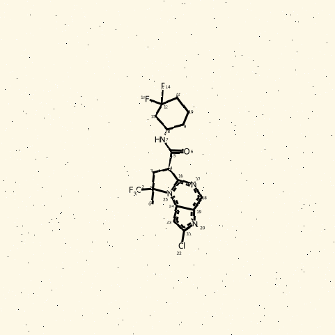 CC1(C(F)(F)F)C[C@@H](C(=O)N[C@H]2CCCC(F)(F)C2)c2ncc3nc(Cl)cc-3n21